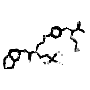 CCOC(Cc1ccc(OCCN(CCC(C)(C)C)C(=O)Oc2ccc3c(c2)CCC3)cc1)C(=O)O